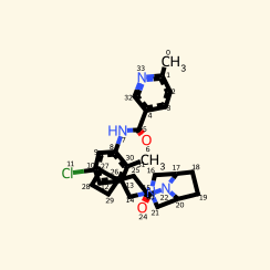 Cc1ccc(C(=O)Nc2cc(Cl)cc(CN3CC4CCC(C3)N4C(=O)CC3CCC3)c2C)cn1